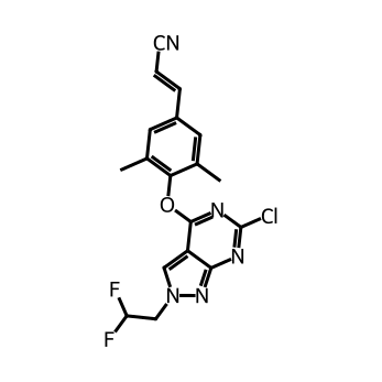 Cc1cc(/C=C/C#N)cc(C)c1Oc1nc(Cl)nc2nn(CC(F)F)cc12